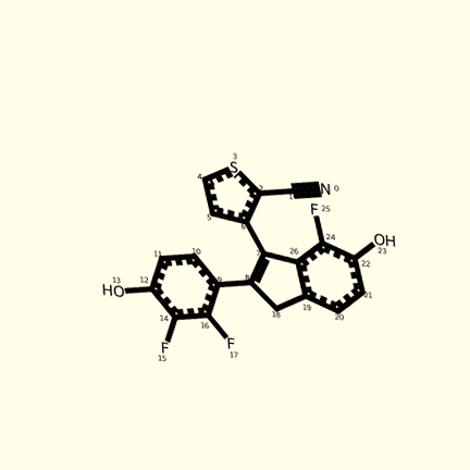 N#Cc1sccc1C1=C(c2ccc(O)c(F)c2F)Cc2ccc(O)c(F)c21